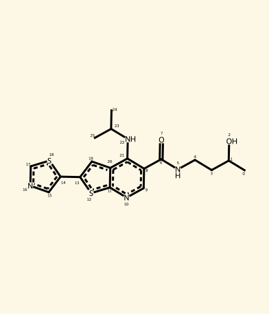 CC(O)CCNC(=O)c1cnc2sc(-c3cncs3)cc2c1NC(C)C